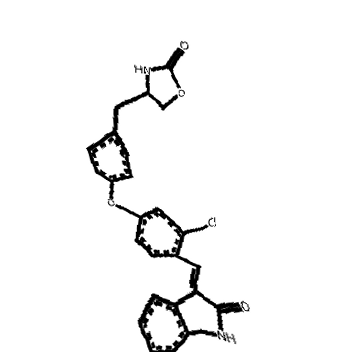 O=C1NC(Cc2ccc(Oc3ccc(/C=C4/C(=O)Nc5ccccc54)c(Cl)c3)cc2)CO1